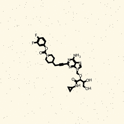 Nc1nc(C#CCC2CCN(C(=O)Oc3ccc(F)c(F)c3)CC2)nc2c1ncn2CO[C@H](C(=O)NC1CC1)C(O)CO